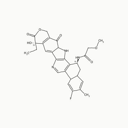 CC[C@@]1(O)C(=O)OCC2=C1C=C1c3ncc4c(c3NC1C2=O)[C@@H](NC(=O)COC)CC1C=C(C)C(F)=CC41